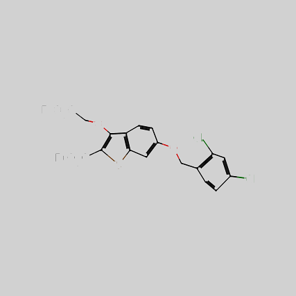 CCOC(=O)COc1c(C(=O)OCC)sc2cc(OCc3ccc(Cl)cc3Cl)ccc12